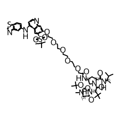 CC(C)[C@@H](C)NC(=O)[C@@H]1C[C@H](NC(=O)COCCOCCOCCOCCOc2cc3nccc(Nc4ccc5scnc5c4)c3cc2S(=O)(=O)C(C)(C)C)CN1C(=O)[C@@H](NC(=O)[C@H](C)N(C)C(=O)OC(C)(C)C)C(C)(C)C